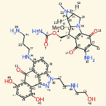 CO[C@@]12[C@H](COC(N)=O)C3=C(C(=O)C(C)=C(N)C3=O)N1C[C@H]1[C@@H]2N1C.NCCCNc1ccc2c3c(nn2CCNCCO)-c2c(O)ccc(O)c2C(=O)c13